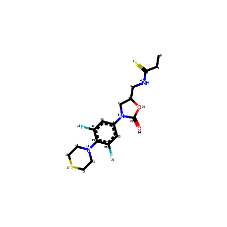 CCC(=S)NCC1CN(c2cc(F)c(N3CCSCC3)c(F)c2)C(=O)O1